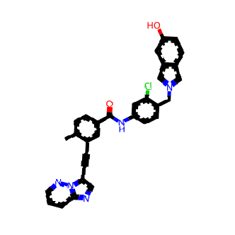 Cc1ccc(C(=O)Nc2ccc(Cn3cc4ccc(O)cc4c3)c(Cl)c2)cc1C#Cc1cnc2cccnn12